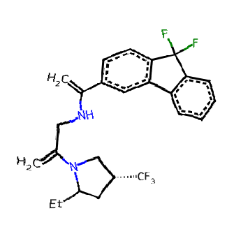 C=C(NCC(=C)N1C[C@H](C(F)(F)F)CC1CC)c1ccc2c(c1)-c1ccccc1C2(F)F